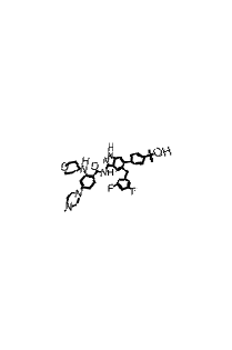 CN1CCN(c2ccc(C(=O)Nc3n[nH]c4cc(-c5ccc(C(C)(C)O)cc5)c(Cc5cc(F)cc(F)c5)cc34)c(NC3CCOCC3)c2)CC1